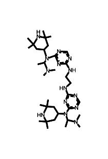 CC(N(C)C)N(c1ncnc(NCCNc2ncnc(N(C3CC(C)(C)NC(C)(C)C3)C(C)N(C)C)n2)n1)C1CC(C)(C)NC(C)(C)C1